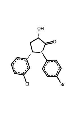 O=C1[C@@H](O)C[C@@H](c2cccc(Cl)c2)N1c1ccc(Br)cc1